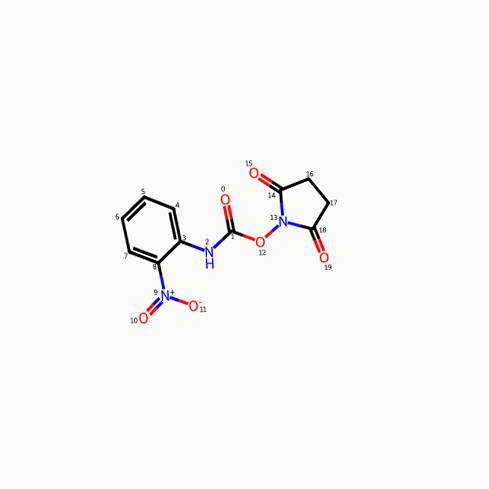 O=C(Nc1ccccc1[N+](=O)[O-])ON1C(=O)CCC1=O